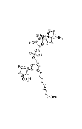 CCCCCCCCCCCCCCCCCCOC[C@H](COP(=O)(O)OC[C@H]1O[C@@](C#N)(c2ccc3c(N)ccnn23)[C@H](O)[C@@H]1O)OCc1cc(F)cc(C(=O)O)c1